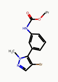 CC(C)OC(=O)Nc1cccc(-c2c(Br)cnn2C)c1